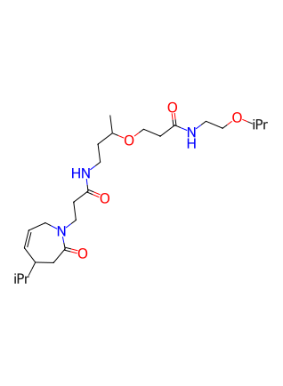 CC(C)OCCNC(=O)CCOC(C)CCNC(=O)CCN1CC=CC(C(C)C)CC1=O